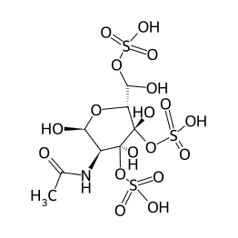 CC(=O)N[C@H]1[C@@H](O)O[C@H](C(O)OS(=O)(=O)O)[C@](O)(OS(=O)(=O)O)[C@@]1(O)OS(=O)(=O)O